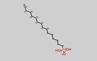 O=P(O)(O)CCCCCCCCCCCCCCBr